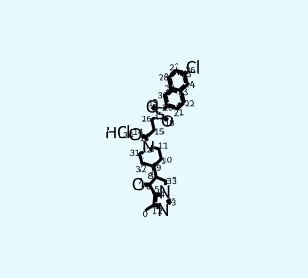 Cc1ncn2c1C(=O)C(C1CCN(C(=O)CCS(=O)(=O)c3ccc4cc(Cl)ccc4c3)CC1)C2.Cl